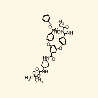 CC(=O)N(O)C(=N)c1ccc(Oc2cc(Oc3ccc(C(=O)OCc4ccccc4)cc3)cc(C(=O)NC3CCC(NC(=O)OC(C)(C)C)CC3)c2)cc1